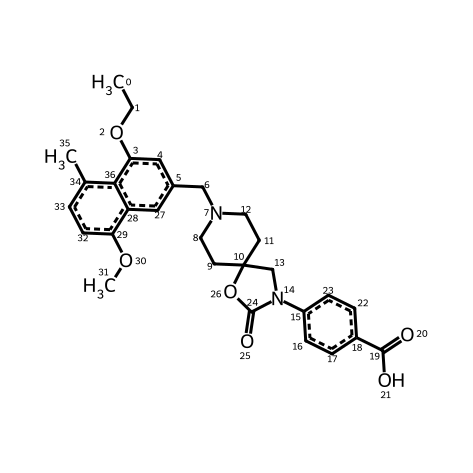 CCOc1cc(CN2CCC3(CC2)CN(c2ccc(C(=O)O)cc2)C(=O)O3)cc2c(OC)ccc(C)c12